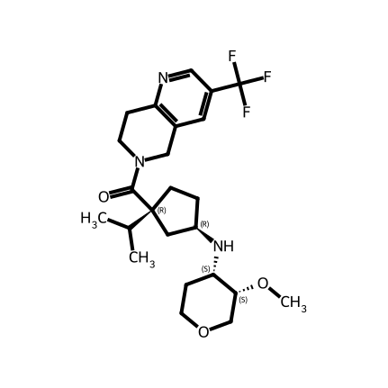 CO[C@@H]1COCC[C@@H]1N[C@@H]1CC[C@](C(=O)N2CCc3ncc(C(F)(F)F)cc3C2)(C(C)C)C1